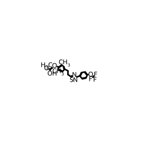 Cc1cc(CCc2nc(-c3ccc(OC(F)(F)F)cc3)ns2)ccc1OC(C)(C)C(=O)O